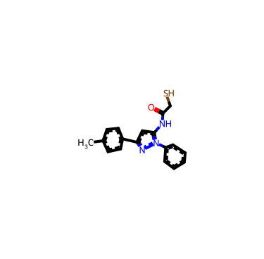 Cc1ccc(-c2cc(NC(=O)CS)n(-c3ccccc3)n2)cc1